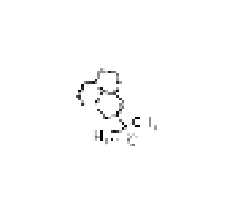 CC(C)(Cl)C1=Cc2cccc3cccc(c23)C1